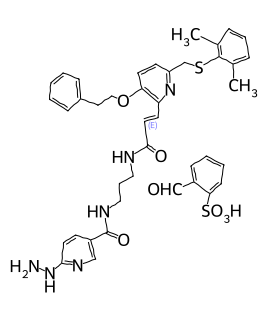 Cc1cccc(C)c1SCc1ccc(OCCc2ccccc2)c(/C=C/C(=O)NCCCNC(=O)c2ccc(NN)nc2)n1.O=Cc1ccccc1S(=O)(=O)O